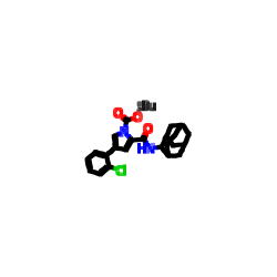 CC(C)(C)OC(=O)n1cc(-c2ccccc2Cl)cc1C(=O)NC1C2CC3CC(C2)CC1C3